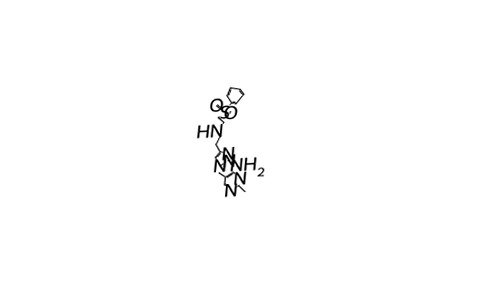 Cc1ncc(Cn2cc(CCNCCS(=O)(=O)c3ccccc3)nn2)c(N)n1